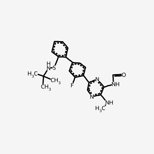 CNc1ncc(-c2ccc(-c3ccccc3SNC(C)(C)C)cc2F)nc1NC=O